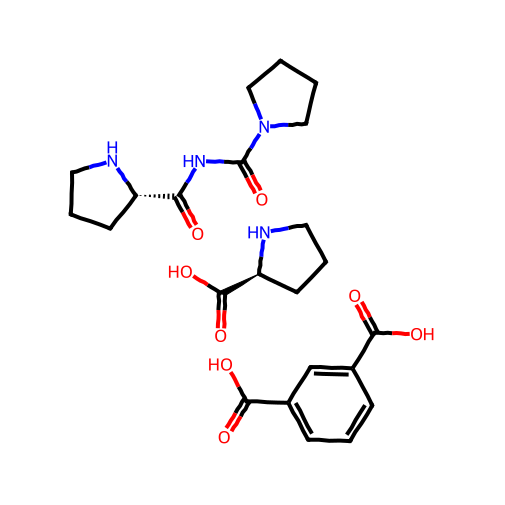 O=C(NC(=O)N1CCCC1)[C@@H]1CCCN1.O=C(O)[C@@H]1CCCN1.O=C(O)c1cccc(C(=O)O)c1